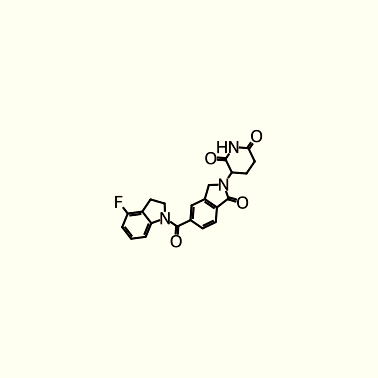 O=C1CCC(N2Cc3cc(C(=O)N4CCc5c(F)cccc54)ccc3C2=O)C(=O)N1